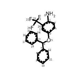 Nc1ccc(OC(c2ccccc2)c2ccccc2)cc1C(F)(F)F